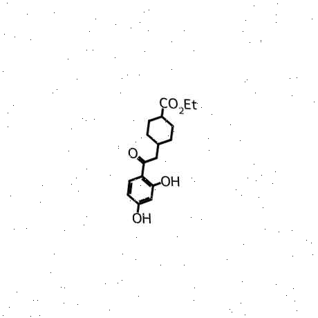 CCOC(=O)C1CCC(CC(=O)c2ccc(O)cc2O)CC1